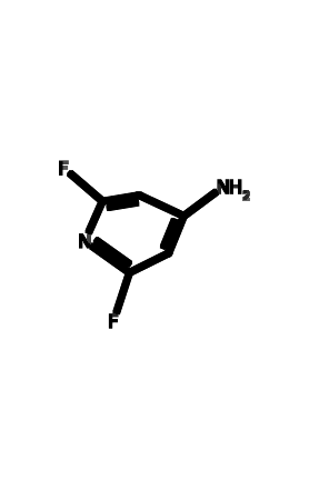 Nc1cc(F)nc(F)c1